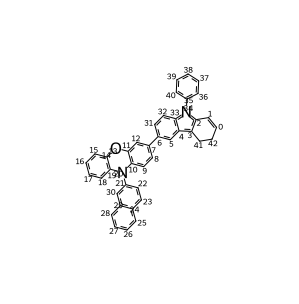 C1=Cc2c(c3cc(-c4ccc5c(c4)Oc4ccccc4N5c4ccc5ccccc5c4)ccc3n2-c2ccccc2)CC1